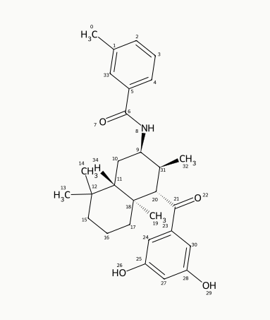 Cc1cccc(C(=O)N[C@@H]2C[C@H]3C(C)(C)CCC[C@]3(C)[C@@H](C(=O)c3cc(O)cc(O)c3)[C@@H]2C)c1